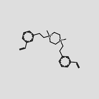 C=Cc1cccc(CC[N+]2(C)CC[N+](C)(CCc3cccc(C=C)c3)CC2)c1